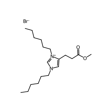 CCCCCCn1cc(CCC(=O)OC)[n+](CCCCCC)c1.[Br-]